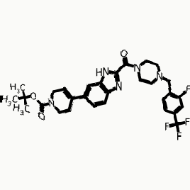 CC(C)(C)OC(=O)N1CC=C(c2ccc3nc(C(=O)N4CCN(Cc5ccc(C(F)(F)F)cc5F)CC4)[nH]c3c2)CC1